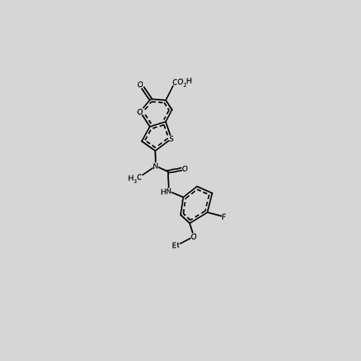 CCOc1cc(NC(=O)N(C)c2cc3oc(=O)c(C(=O)O)cc3s2)ccc1F